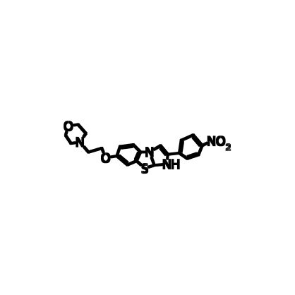 O=[N+]([O-])c1ccc(C2=CN3c4ccc(OCCN5CCOCC5)cc4SC3N2)cc1